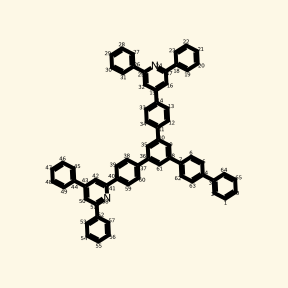 c1ccc(-c2ccc(-c3cc(-c4ccc(-c5cc(-c6ccccc6)nc(-c6ccccc6)c5)cc4)cc(-c4ccc(-c5cc(-c6ccccc6)cc(-c6ccccc6)n5)cc4)c3)cc2)cc1